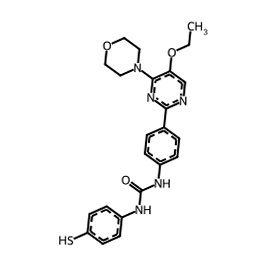 CCOc1cnc(-c2ccc(NC(=O)Nc3ccc(S)cc3)cc2)nc1N1CCOCC1